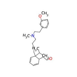 COc1cccc(CCN(C)CCCCC2(C(C)C)C=CC=CC2CC=O)c1